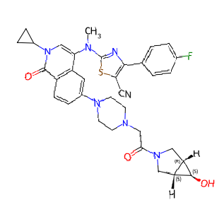 CN(c1nc(-c2ccc(F)cc2)c(C#N)s1)c1cn(C2CC2)c(=O)c2ccc(N3CCN(CC(=O)N4C[C@@H]5[C@@H](O)[C@@H]5C4)CC3)cc12